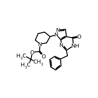 CC(C)(C)OC(=O)N1CCCC(n2ncc3c(=O)[nH]c(Cc4ccccc4)nc32)C1